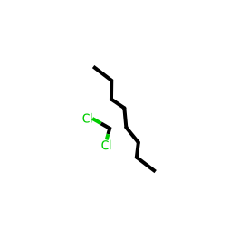 CCCCCCCC.ClCCl